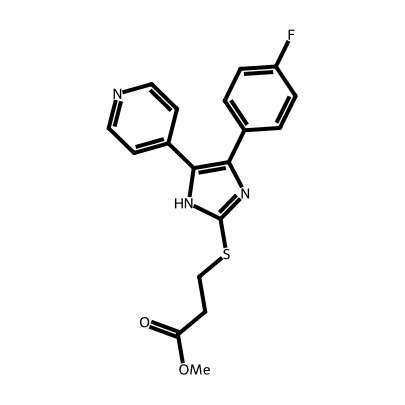 COC(=O)CCSc1nc(-c2ccc(F)cc2)c(-c2ccncc2)[nH]1